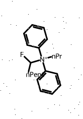 CCCCCC(F)[N+](CCC)(c1ccccc1)c1ccccc1